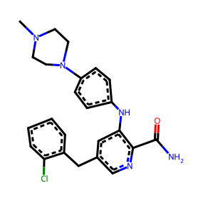 CN1CCN(c2ccc(Nc3cc(Cc4ccccc4Cl)cnc3C(N)=O)cc2)CC1